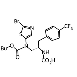 CC(C)(C)OC(=O)N(C[C@H](Cc1ccc(C(F)(F)F)cc1)NC(=O)O)c1cnc(Br)s1